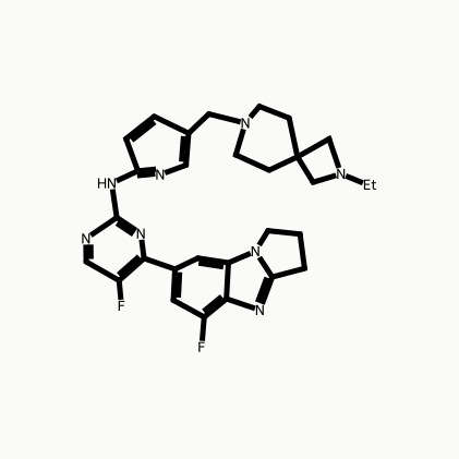 CCN1CC2(CCN(Cc3ccc(Nc4ncc(F)c(-c5cc(F)c6nc7n(c6c5)CCC7)n4)nc3)CC2)C1